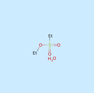 CCOS(=O)(=O)CC.O